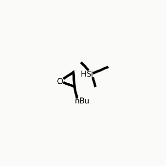 CCCCC1CO1.C[SiH](C)C